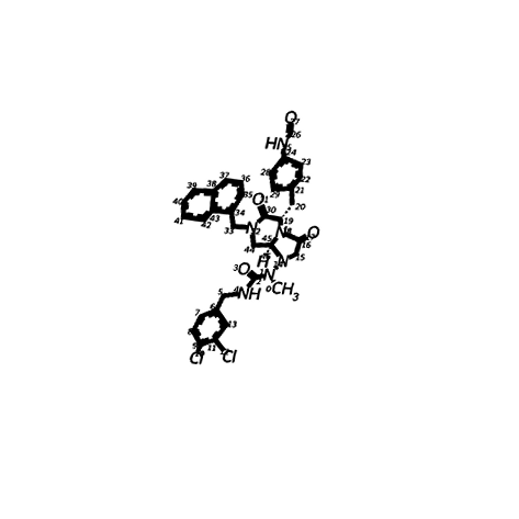 CN(C(=O)NCc1ccc(Cl)c(Cl)c1)N1CC(=O)N2[C@@H](Cc3ccc(NC=O)cc3)C(=O)N(Cc3cccc4ccccc34)C[C@@H]21